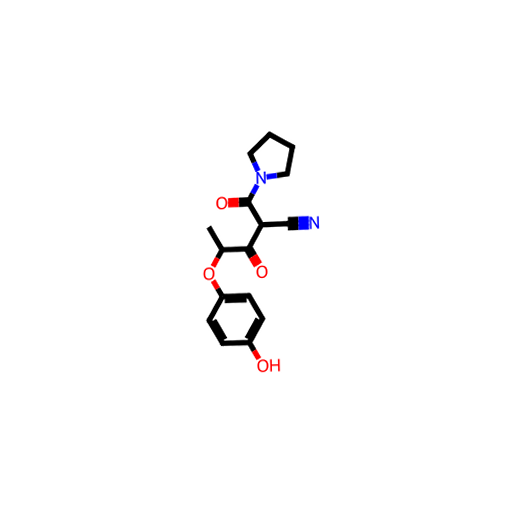 CC(Oc1ccc(O)cc1)C(=O)C(C#N)C(=O)N1CCCC1